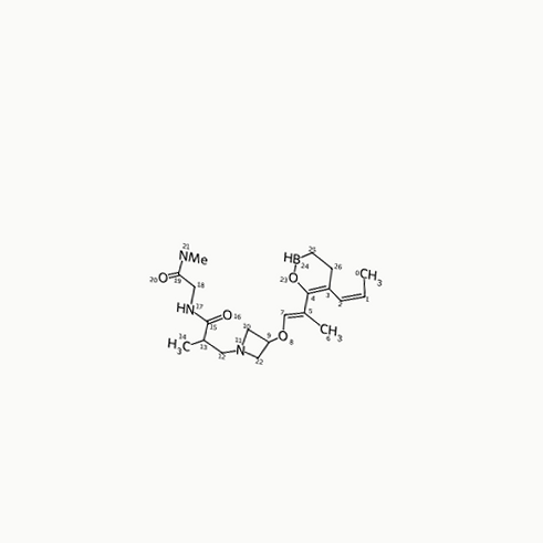 C/C=C\C1=C(C(/C)=C/OC2CN(CC(C)C(=O)NCC(=O)NC)C2)OBCC1